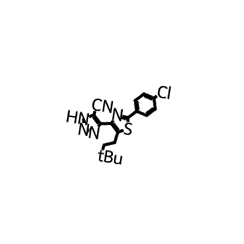 CC(C)(C)CCc1sc(-c2ccc(Cl)cc2)nc1-c1nn[nH]c1C#N